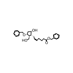 O=C(CCC/C=C\C[C@@H]1[C@@H](CO)[C@H](OCc2ccccc2)C[C@@H]1O)OCc1ccccc1